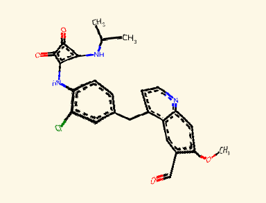 COc1cc2nccc(Cc3ccc(Nc4c(NC(C)C)c(=O)c4=O)c(Cl)c3)c2cc1C=O